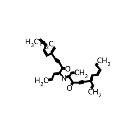 C=C/C=C\C=C(\C#CC(=O)/C(C=C)=N/C(=C\C=C)C(=O)C#CC(/C=C\C=C/C)=C/C)C=C